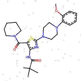 COc1ccccc1N1CCN(c2nc(NC(=O)C(C)(C)C)c(C(=O)N3CCCCC3)s2)CC1